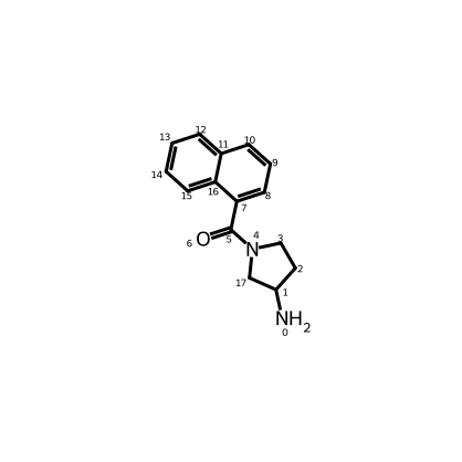 NC1CCN(C(=O)c2cccc3ccccc23)C1